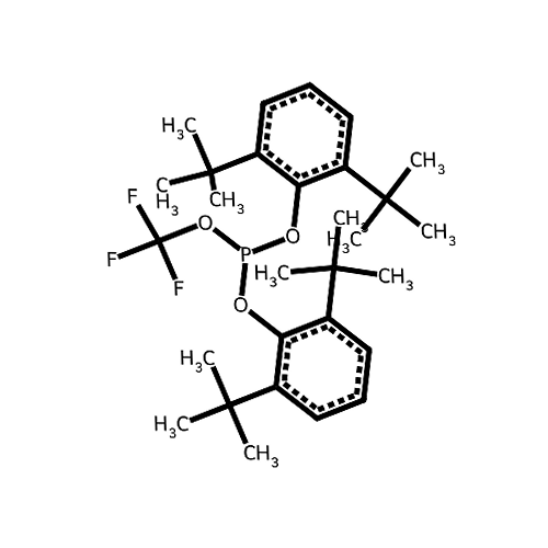 CC(C)(C)c1cccc(C(C)(C)C)c1OP(Oc1c(C(C)(C)C)cccc1C(C)(C)C)OC(F)(F)F